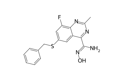 Cc1nc(C(N)=NO)c2cc(SCc3ccccc3)cc(F)c2n1